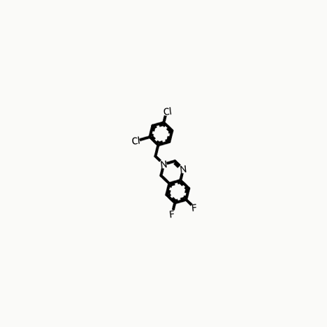 Fc1cc2c(cc1F)N=CN(Cc1ccc(Cl)cc1Cl)C2